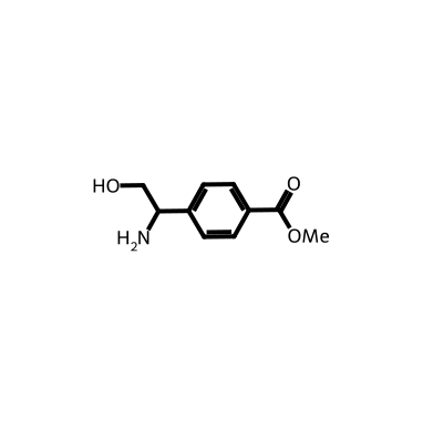 COC(=O)c1ccc(C(N)CO)cc1